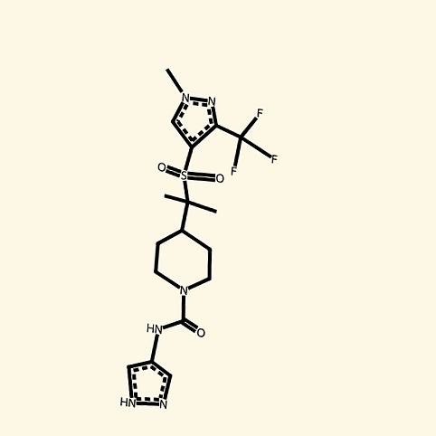 Cn1cc(S(=O)(=O)C(C)(C)C2CCN(C(=O)Nc3cn[nH]c3)CC2)c(C(F)(F)F)n1